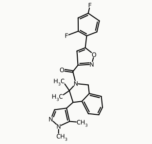 Cc1c(C2c3ccccc3CN(C(=O)c3cc(-c4ccc(F)cc4F)on3)C2(C)C)cnn1C